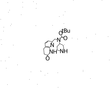 CC(C)(C)OC(=O)N(Cc1ccc2c(n1)NC(=O)CC2)C1CCNCC1